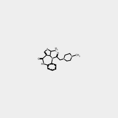 CC1SC=C2C(=O)Nc3ccccc3N(C(=O)CN3CCN(C)CC3)C21